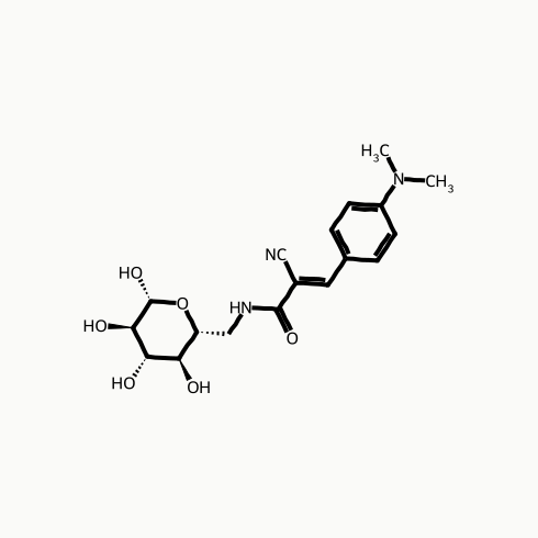 CN(C)c1ccc(/C=C(\C#N)C(=O)NC[C@H]2O[C@@H](O)[C@H](O)[C@@H](O)[C@@H]2O)cc1